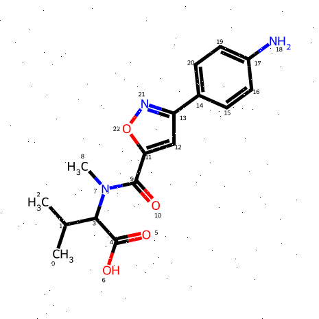 CC(C)C(C(=O)O)N(C)C(=O)c1cc(-c2ccc(N)cc2)no1